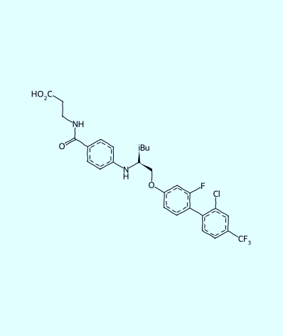 CC[C@H](C)[C@@H](COc1ccc(-c2ccc(C(F)(F)F)cc2Cl)c(F)c1)Nc1ccc(C(=O)NCCC(=O)O)cc1